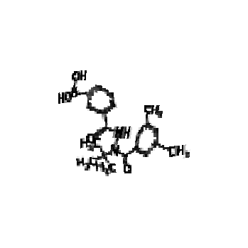 Cc1cc(C)cc(C(=O)N(NC(=O)c2cccc(B(O)O)c2)C(C)(C)C)c1